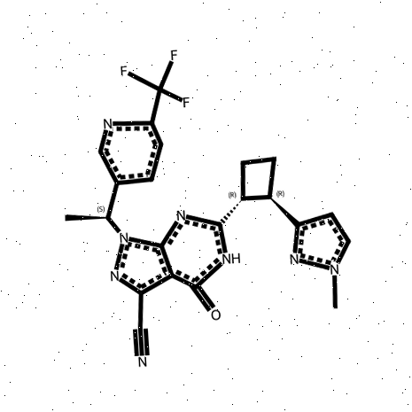 C[C@@H](c1ccc(C(F)(F)F)nc1)n1nc(C#N)c2c(=O)[nH]c([C@@H]3CC[C@H]3c3ccn(C)n3)nc21